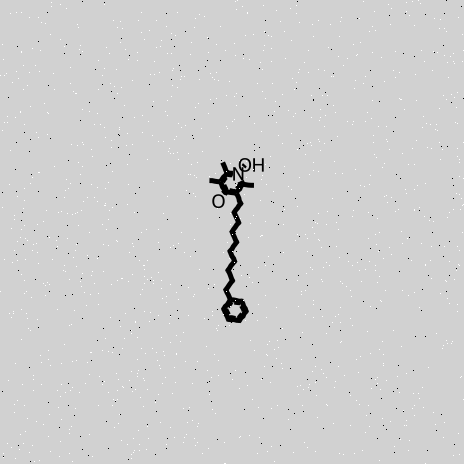 Cc1c(C)n(O)c(C)c(CCCCCCCCCCc2ccccc2)c1=O